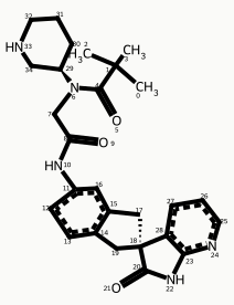 CC(C)(C)C(=O)N(CC(=O)Nc1ccc2c(c1)C[C@@]1(C2)C(=O)Nc2ncccc21)[C@@H]1CCCNC1